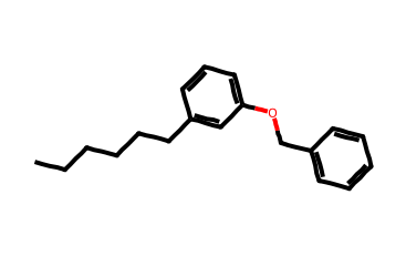 CCCCCCc1cccc(OCc2ccccc2)c1